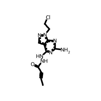 CC#CC(=O)NNc1nc(N)nc2c1cnn2CCCl